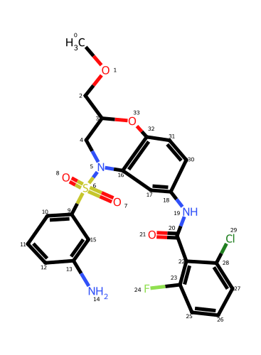 COCC1CN(S(=O)(=O)c2cccc(N)c2)c2cc(NC(=O)c3c(F)cccc3Cl)ccc2O1